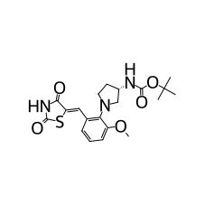 COc1cccc(/C=C2\SC(=O)NC2=O)c1N1CC[C@H](NC(=O)OC(C)(C)C)C1